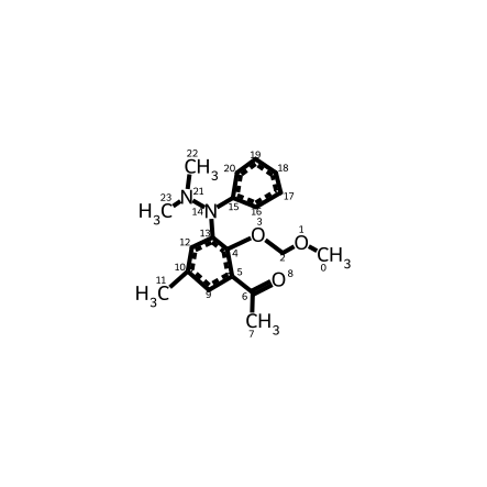 COCOc1c(C(C)=O)cc(C)cc1N(c1ccccc1)N(C)C